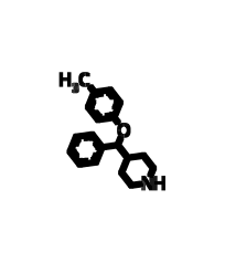 Cc1ccc(OC(c2ccccc2)C2CCNCC2)cc1